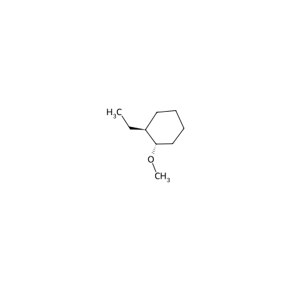 CC[C@H]1CCCC[C@@H]1OC